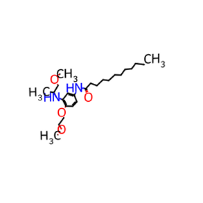 CCCCCCCCCCCC(=O)Nc1ccc(OCCOC)c(NC(C)COC)c1